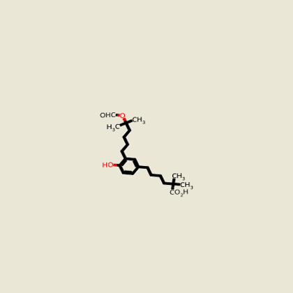 CC(C)(CCCCc1cc(CCCCC(C)(C)C(=O)O)ccc1O)OC=O